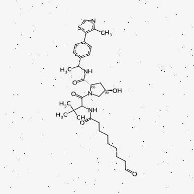 Cc1ncsc1-c1ccc(C(C)NC(=O)[C@@H]2C[C@@H](O)CN2C(=O)C(NC(=O)CCCCCCCC=O)C(C)(C)C)cc1